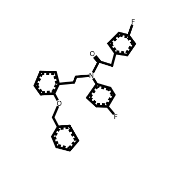 O=C(Cc1ccc(F)cc1)N(CCc1ccccc1OCc1ccccc1)c1ccc(F)cc1